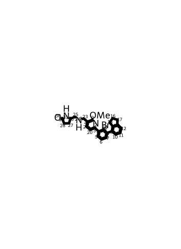 COc1nc(-c2cccc(-c3cccc4c3CCC4)c2Br)ccc1CNCC1CCC(=O)N1